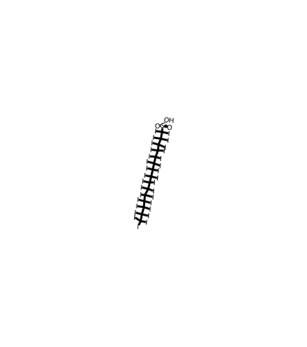 O=S(=O)(O)C(I)(I)C(I)(I)C(I)(I)C(I)(I)C(I)(I)C(I)(I)C(I)(I)C(I)(I)C(I)(I)C(I)(I)C(I)(I)C(I)(I)C(I)(I)C(I)(I)C(I)(I)I